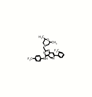 CC1CN(Cc2nc(Nc3ccc(C(F)(F)F)cc3)c3cnc(-c4ccccc4C(F)(F)F)cc3n2)CC(C)O1